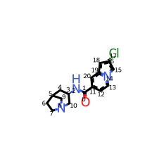 O=C(N[C@@H]1CC2CCN(C2)C1)c1ccn2cc(Cl)cc2c1